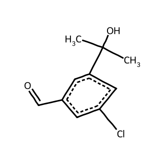 CC(C)(O)c1cc(Cl)cc(C=O)c1